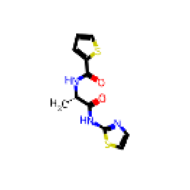 C[C@H](NC(=O)c1cccs1)C(=O)Nc1nccs1